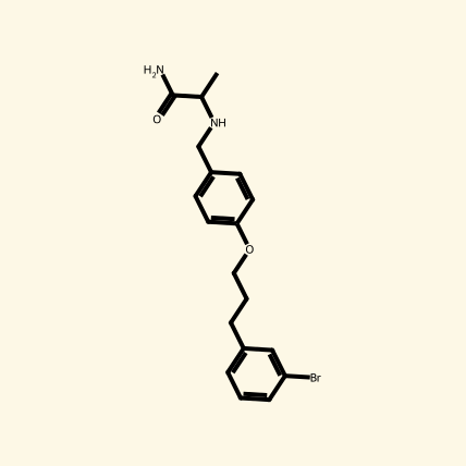 CC(NCc1ccc(OCCCc2cccc(Br)c2)cc1)C(N)=O